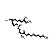 C/C=C(\C=C/CN(C)CCCN(C)C(=O)CCCSSCCCO)CC/C=C/C(C)=C/C